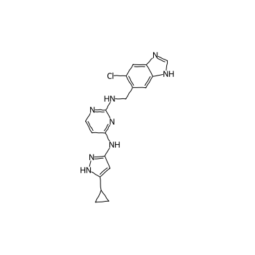 Clc1cc2nc[nH]c2cc1CNc1nccc(Nc2cc(C3CC3)[nH]n2)n1